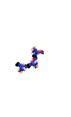 C=C(F)C(=O)N1CCN(c2nc(OCC3CN(CC)CCO3)nc3c2CCN(c2cc(CC(C)N4CCOC(COc5nc6c(c(N7CCN(C(=O)C(=C)F)[C@@H](CC#N)C7)n5)CCN(c5ccc(C7CC(COc8nc9c(c(N%10CCN(C(=O)C(=C)F)[C@@H](CC#N)C%10)n8)CCN(c8cccc%10cccc(C)c8%10)C9)N7C(C)C)c7cccc(C)c57)C6)C4)cc4cccc(C)c24)C3)C[C@@H]1CC#N